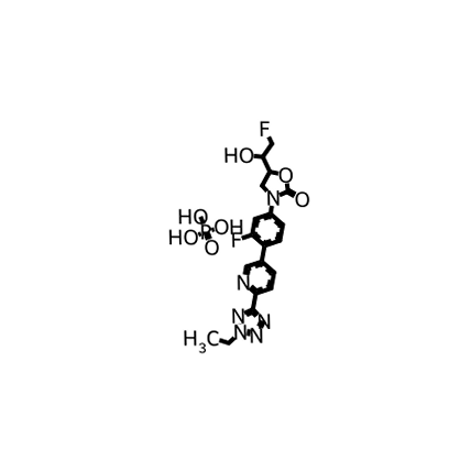 CCn1nnc(-c2ccc(-c3ccc(N4CC(C(O)CF)OC4=O)cc3F)cn2)n1.O=P(O)(O)O